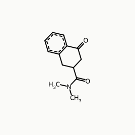 CN(C)C(=O)C1CC(=O)c2ccccc2C1